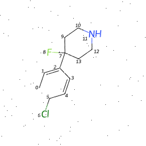 C/C=C(\C=C/CCl)C1(F)CCNCC1